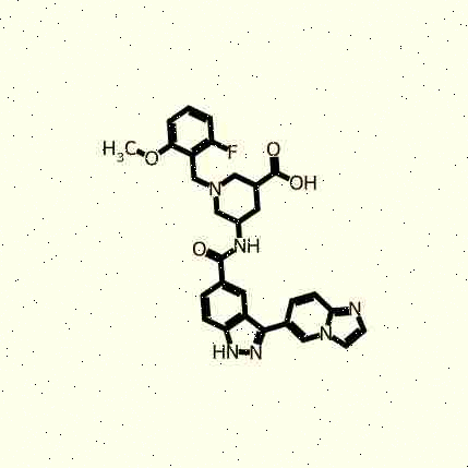 COc1cccc(F)c1CN1CC(NC(=O)c2ccc3[nH]nc(-c4ccc5nccn5c4)c3c2)CC(C(=O)O)C1